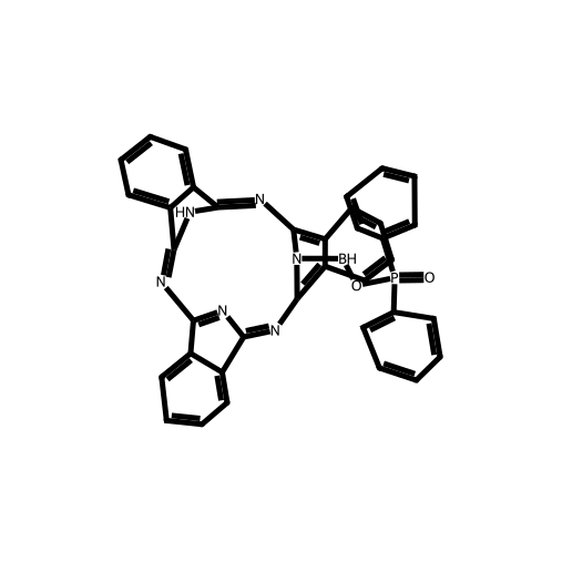 O=P(OBn1c2nc3nc(nc4[nH]c(nc1c1ccccc12)c1ccccc41)-c1ccccc1-3)(c1ccccc1)c1ccccc1